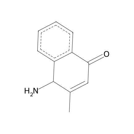 CC1=CC(=O)c2ccccc2C1N